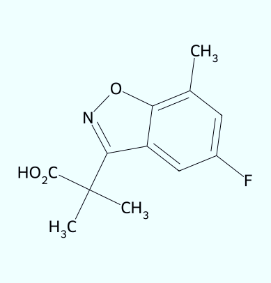 Cc1cc(F)cc2c(C(C)(C)C(=O)O)noc12